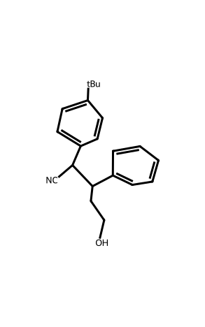 CC(C)(C)c1ccc(C(C#N)C(CCO)c2ccccc2)cc1